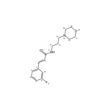 O=C(C=Cc1cccc(F)c1)NCCCN1CCOCC1